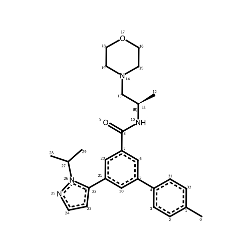 Cc1ccc(-c2cc(C(=O)N[C@H](C)CN3CCOCC3)cc(-c3ccnn3C(C)C)c2)cc1